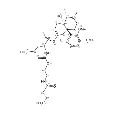 COc1ccc(C)c([C@]23CCN(C)[C@@H](C)[C@]2(O)CC=C(OC(=O)C(CCC(=O)O)NC(=O)OCCNC(=O)CCC(=O)O)C3)c1OC